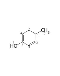 CC1C=CC(O)=CC1